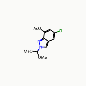 COC(OC)n1cc2cc(Cl)cc(OC(C)=O)c2n1